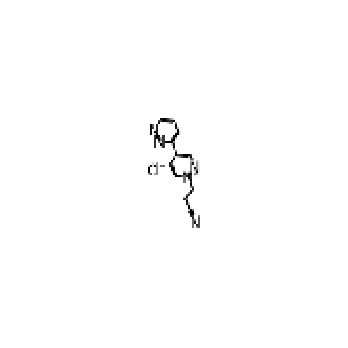 N#CCC[n+]1ccc(-c2cccnn2)cn1.[Cl-]